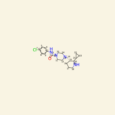 O=C(Nc1ccc(Cl)cc1)N1CCN(C[C@H]2CCCNC2C2CC2)CC1